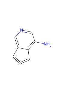 Nc1cncc2c1C=C=C2